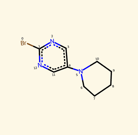 Brc1ncc(N2CCCCC2)cn1